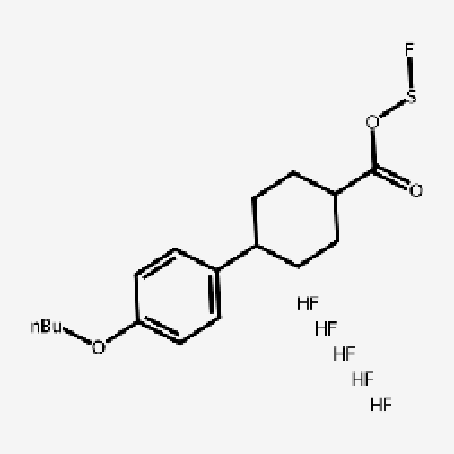 CCCCOc1ccc(C2CCC(C(=O)OSF)CC2)cc1.F.F.F.F.F